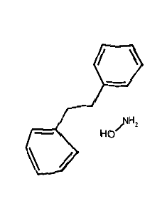 NO.c1ccc(CCc2ccccc2)cc1